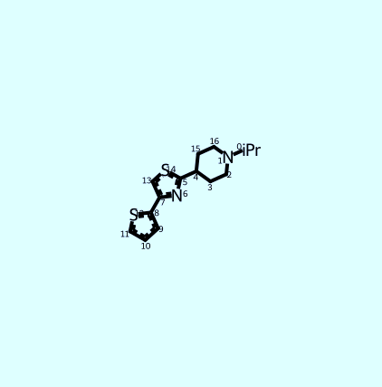 CC(C)N1CCC(c2nc(-c3cccs3)cs2)CC1